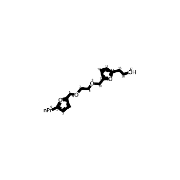 CCCc1ccc(COCCOCc2ccc(CCO)o2)o1